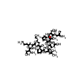 CCSSC[C@H](NC(=O)[C@H](CCCCN)NC(=O)[C@@H](N)CO)C(=O)N1CCC[C@H]1C(=O)N[C@@H](CC(C)C)C(=O)N[C@@H](CC(=O)O)C(=O)NC(C(=O)N1CCC[C@H]1C(=O)N[C@@H](CO)C(=O)NCC(N)=O)C(C)C